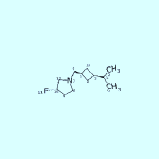 CC(C)[C@H]1C[C@@H](CN2CC[C@H](F)C2)C1